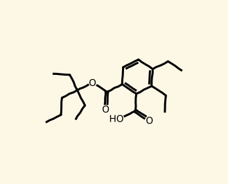 CCCC(CC)(CC)OC(=O)c1ccc(CC)c(CC)c1C(=O)O